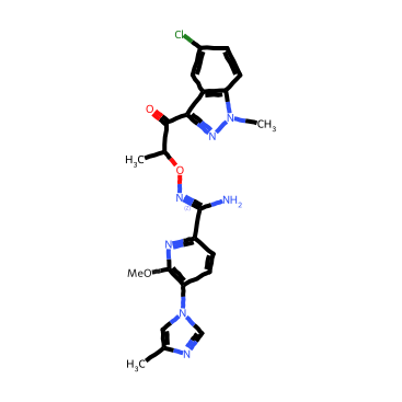 COc1nc(/C(N)=N/OC(C)C(=O)c2nn(C)c3ccc(Cl)cc23)ccc1-n1cnc(C)c1